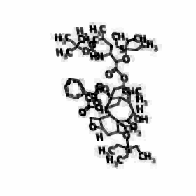 CC[Si](CC)(CC)OC(C(=O)O[C@H]1C[C@]2(O)[C@]3(C)C[C@@]2(OC(=O)c2ccccc2)[C@@H]2[C@]4(OC(C)=O)CO[C@@H]4CC(O[Si](CC)(CC)CC)[C@@]2(C)C(=O)[C@H](O)C3=C1C)[C@H](CC(C)C)NC(=O)OC(C)(C)C